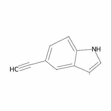 C#Cc1ccc2[nH]c[c]c2c1